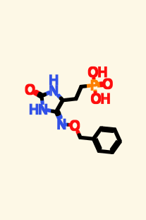 O=C1NC(=NOCc2ccccc2)C(CCP(=O)(O)O)N1